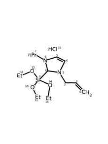 C=CCN1C=CN(CCC)C1[Si](OCC)(OCC)OCC.Cl